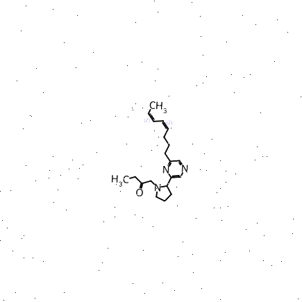 C/C=C\C=C/CCCc1cncc(C2CCCN2CC(=O)CC)n1